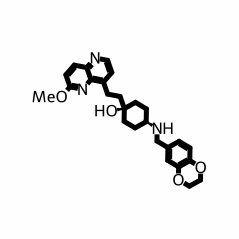 COc1ccc2nccc(CC[C@]3(O)CC[C@@H](NCc4ccc5c(c4)OCCO5)CC3)c2n1